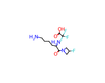 NCCCCC(N)C(=O)N1CC(F)C1.O=C(O)C(F)(F)F